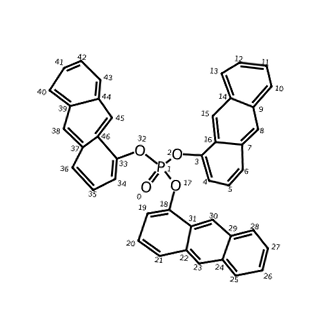 O=P(Oc1cccc2cc3ccccc3cc12)(Oc1cccc2cc3ccccc3cc12)Oc1cccc2cc3ccccc3cc12